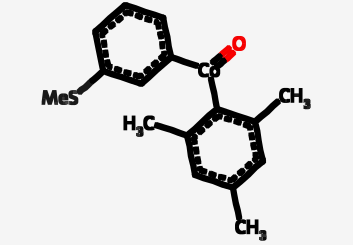 CSc1ccc[c]([Co](=[O])[c]2c(C)cc(C)cc2C)c1